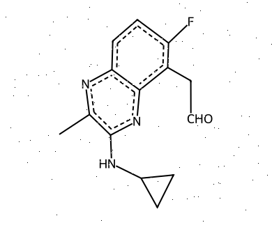 Cc1nc2ccc(F)c(CC=O)c2nc1NC1CC1